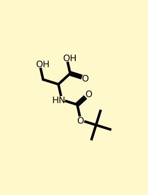 CC(C)(C)OC(=O)NC(CO)C(=O)O